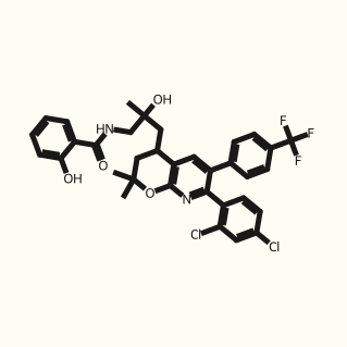 CC(O)(CNC(=O)c1ccccc1O)CC1CC(C)(C)Oc2nc(-c3ccc(Cl)cc3Cl)c(-c3ccc(C(F)(F)F)cc3)cc21